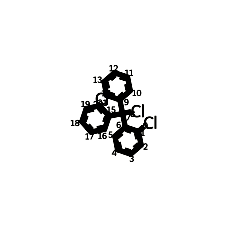 Clc1ccccc1C(Cl)(c1ccccc1)c1ccccc1Cl